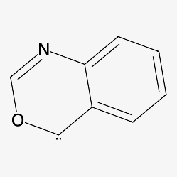 [C]1OC=Nc2ccccc21